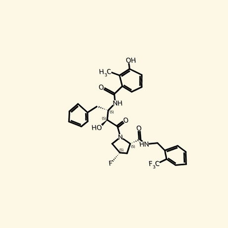 Cc1c(O)cccc1C(=O)N[C@@H](Cc1ccccc1)[C@H](O)C(=O)N1C[C@@H](F)C[C@H]1C(=O)NCc1ccccc1C(F)(F)F